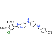 COc1cc(OC)c(-c2cn3ccc(N[C@H]4CC[C@@H](NCc5ccc(C#N)cc5)CC4)cc3n2)cc1Cl